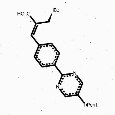 CCCCCc1cnc(-c2ccc(C=C(C[C@H](C)CC)C(=O)O)cc2)nc1